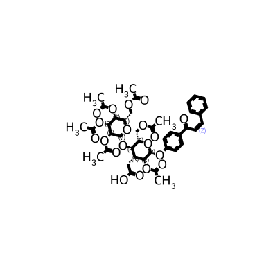 CC(=O)OC[C@@H]1O[C@H](Oc2ccc(C(=O)/C=C\c3ccccc3)cc2)[C@H](OC(C)=O)[C@H](CC(=O)O)[C@H]1O[C@H]1O[C@@H](COC(C)=O)[C@H](OC(C)=O)[C@@H](OC(C)=O)[C@@H]1OC(C)=O